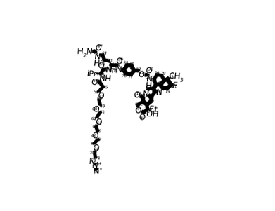 CC[C@@]1(O)C(=O)OCc2c1cc1n(c2=O)Cc2c-1nc1cc(F)c(C)c3c1c2[C@@H](NC(=O)OCc1ccc(NC(=O)[C@H](CCCNC(N)=O)NC(=O)[C@@H](NC(=O)CCOCCOCCOCCOCCOCCN=[N+]=[N-])C(C)C)cc1)CC3